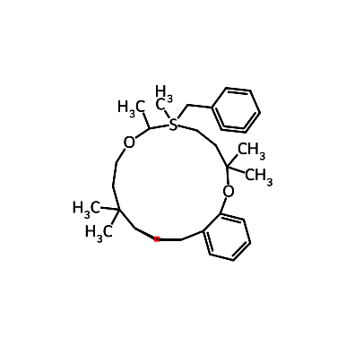 CC1OCCC(C)(C)C2CC(C2)c2ccccc2OC(C)(C)CCS1(C)CC1=C=C=CC=C1